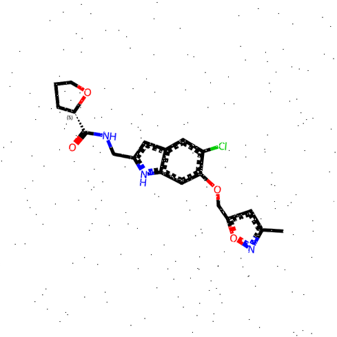 Cc1cc(COc2cc3[nH]c(CNC(=O)[C@@H]4CCCO4)cc3cc2Cl)on1